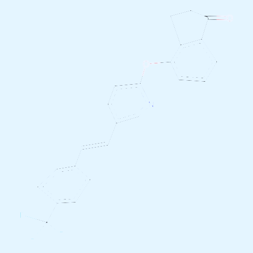 O=C1CCc2c(Oc3ccc(C=Cc4ccc(C(F)(F)F)cc4)cn3)cccc21